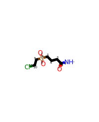 [NH]C(=O)CCCS(=O)(=O)CCCl